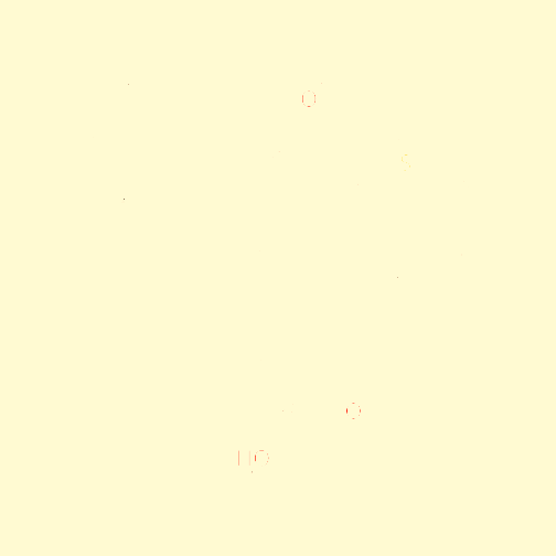 CC(C(=O)O)c1cc(C(=O)c2ccccc2)c2sccc2c1